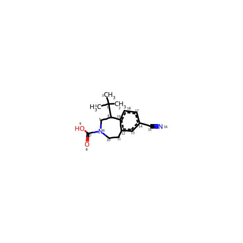 CC(C)(C)C1CN(C(=O)O)CCc2cc(C#N)ccc21